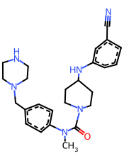 CN(C(=O)N1CCC(Nc2cccc(C#N)c2)CC1)c1ccc(CN2CCNCC2)cc1